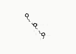 CC(=O)O.OCc1cc([C@@H](O)CNCCc2cccc(COCCCc3ccccc3)c2)ccc1O